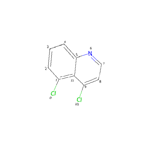 Clc1cccc2nccc(Cl)c12